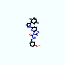 O=C(NCC1CCCC(O)C1)n1cnc2ccc(N3CCCC3c3cc(F)ccc3F)nc21